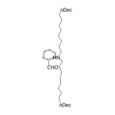 CCCCCCCCCCCCCCCCCCNCCCCCCCCCCCCCCCCCC.O=Cc1ccccc1